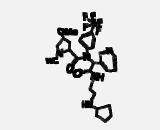 COC1CC(C(=O)N(c2ccc(S(F)(F)(F)(F)F)cc2)C(C(=O)NCCNC2CCCC2)c2cccnc2)N(C#N)C1